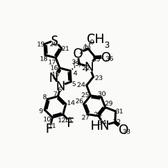 C[C@H]1O[C@@H](c2cn(-c3ccc(F)c(F)c3)nc2-c2ccsc2)N(CCc2ccc3c(c2)CC(=O)N3)C1=O